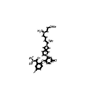 CCN(C(=O)c1cc(F)ccc1Oc1nnc(Cl)nc1N1CCC2(C1)CN([C@H](CCCN(C)CCOC)C(C)C)C2)C(C)C